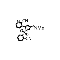 CNCc1cc(-c2cccnc2C#N)n(S(=O)(=O)c2ccccc2C#N)c1